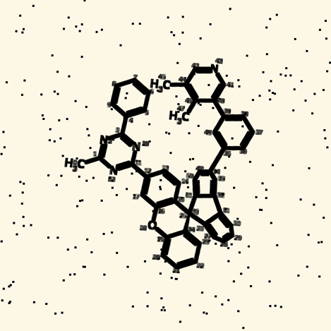 Cc1nc(-c2ccccc2)nc(-c2ccc3c(c2)Oc2ccccc2[C@@]32c3ccccc3-c3cc(-c4cccc(-c5cncc(C)c5C)c4)ccc32)n1